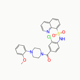 COc1ccccc1N1CCN(C(=O)c2ccc(NS(=O)(=O)c3cccc4cccnc34)c(Cl)c2)CC1